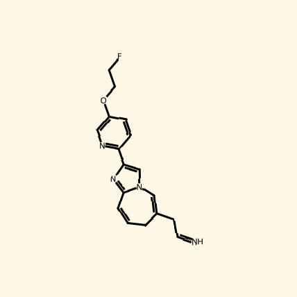 N=CCC1=Cn2cc(-c3ccc(OCCF)cn3)nc2C=CC1